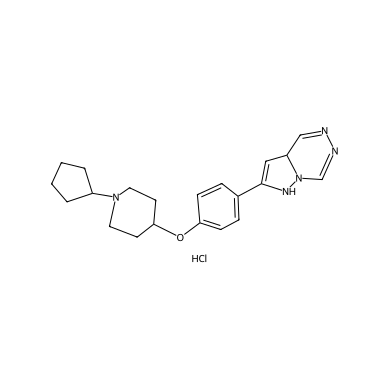 C1=NN=CN2NC(c3ccc(OC4CCN(C5CCCC5)CC4)cc3)=CC12.Cl